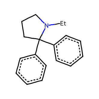 CCN1CCCC1(c1ccccc1)c1ccccc1